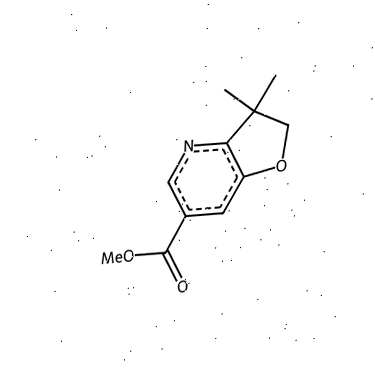 COC(=O)c1cnc2c(c1)OCC2(C)C